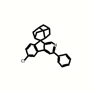 Clc1ccc2c(c1)-c1cc(-c3ccccc3)ncc1C21C2CC3CC(C2)CC1C3